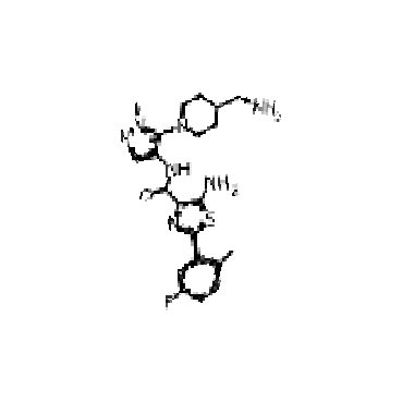 Cc1ccc(F)cc1-c1nc(C(=O)Nc2cnn(C)c2N2CCC(CN)CC2)c(N)s1